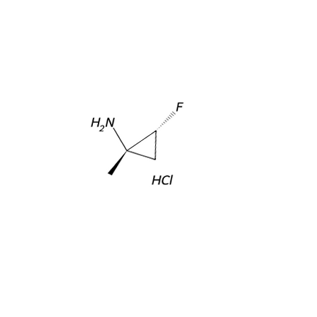 C[C@]1(N)C[C@H]1F.Cl